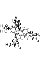 CN(C)c1ccc(S(OS(=O)(=O)CC(F)(F)F)(c2ccc(OC(C)(C)C)cc2)c2ccc(OC(C)(C)C)cc2)cc1